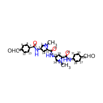 Cn1cc(NC(=O)c2ccc(C=O)cc2)cc1C(=O)Nc1cc(C(=O)Nc2ccc(C=O)cc2)n(C)c1